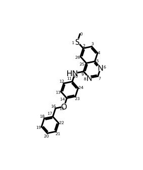 CSc1ccc2ncnc(Nc3ccc(OCc4ccccc4)cc3)c2c1